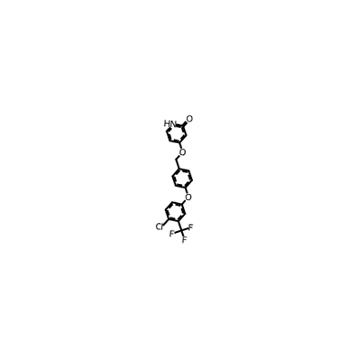 O=c1cc(OCc2ccc(Oc3ccc(Cl)c(C(F)(F)F)c3)cc2)cc[nH]1